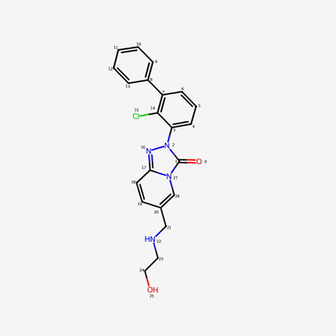 O=c1n(-c2cccc(-c3ccccc3)c2Cl)nc2ccc(CNCCO)cn12